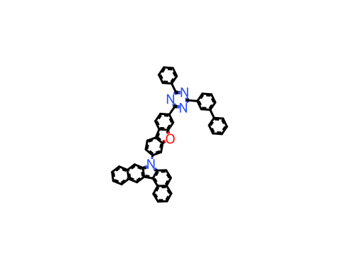 c1ccc(-c2cccc(-c3nc(-c4ccccc4)nc(-c4ccc5c(c4)oc4cc(-n6c7cc8ccccc8cc7c7c8ccccc8ccc76)ccc45)n3)c2)cc1